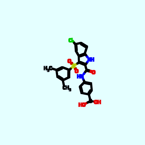 Cc1cc(C)cc(S(=O)(=O)c2c(C(=O)Nc3ccc(B(O)O)cc3)[nH]c3ccc(Cl)cc23)c1